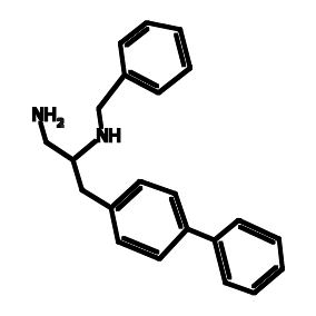 NCC(Cc1ccc(-c2ccccc2)cc1)NCc1ccccc1